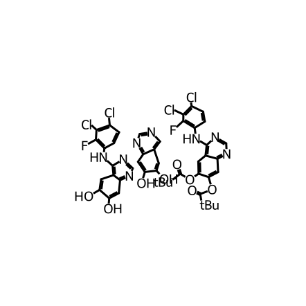 CC(C)(C)C(=O)Oc1cc2ncnc(Nc3ccc(Cl)c(Cl)c3F)c2cc1OC(=O)C(C)(C)C.Oc1cc2cncnc2cc1O.Oc1cc2ncnc(Nc3ccc(Cl)c(Cl)c3F)c2cc1O